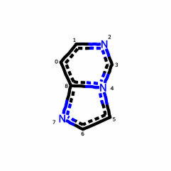 [c]1cncn2ccnc12